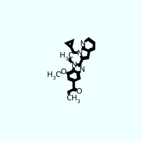 CCC(=O)c1cc(OC)c2c(c1)nc(-c1cc3cccnc3n1CC1CC1)n2CC